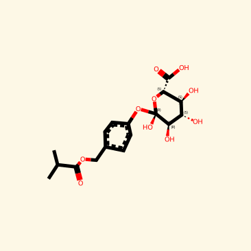 CC(C)C(=O)OCc1ccc(O[C@]2(O)O[C@H](C(=O)O)[C@@H](O)[C@H](O)[C@H]2O)cc1